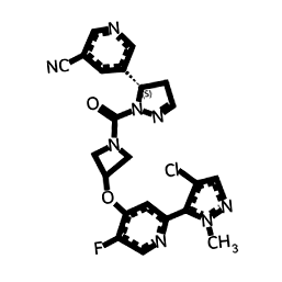 Cn1ncc(Cl)c1-c1cc(OC2CN(C(=O)N3N=CC[C@H]3c3cncc(C#N)c3)C2)c(F)cn1